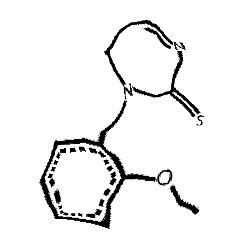 COc1ccccc1N1CC=NC1=S